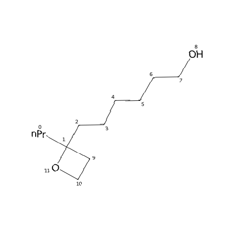 CCCC1(CCCCCCO)CCO1